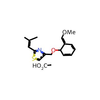 CC(=O)O.COC=C1C=CC=CC1OCc1csc(C=C(C)C)n1